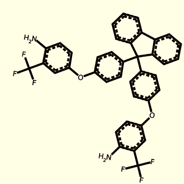 Nc1ccc(Oc2ccc(C3(c4ccc(Oc5ccc(N)c(C(F)(F)F)c5)cc4)c4ccccc4-c4ccccc43)cc2)cc1C(F)(F)F